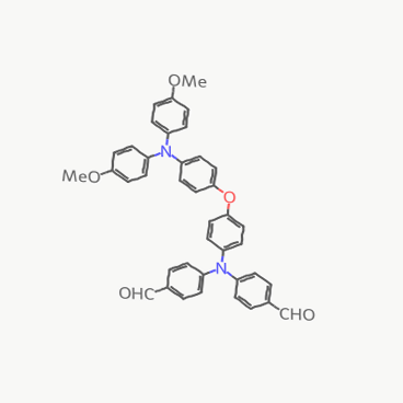 COc1ccc(N(c2ccc(OC)cc2)c2ccc(Oc3ccc(N(c4ccc(C=O)cc4)c4ccc(C=O)cc4)cc3)cc2)cc1